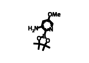 COc1cnc(B2OC(C)(C)C(C)(C)O2)c(N)c1